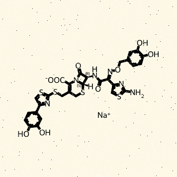 Nc1nc(C(=NOCc2ccc(O)c(O)c2)C(=O)N[C@@H]2C(=O)N3C(C(=O)[O-])=C(CSc4nc(-c5ccc(O)c(O)c5)cs4)CS[C@@H]23)cs1.[Na+]